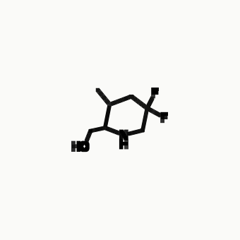 CC1CC(F)(F)CNC1CO